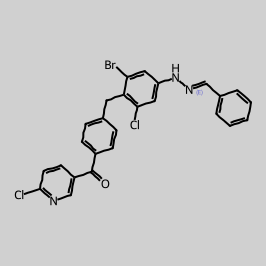 O=C(c1ccc(Cc2c(Cl)cc(N/N=C/c3ccccc3)cc2Br)cc1)c1ccc(Cl)nc1